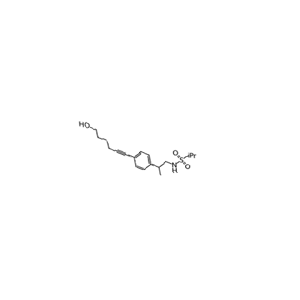 CC(CNS(=O)(=O)C(C)C)c1ccc(C#CCCCCO)cc1